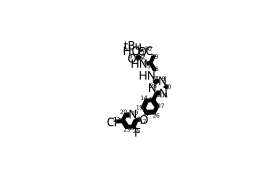 CC(C)(C)OC(=O)NC(CNc1ncnc(-c2ccc(Oc3ncc(Cl)cc3F)cc2)n1)CC(=O)O